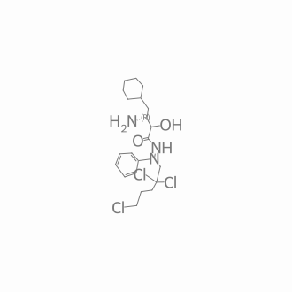 N[C@H](CC1CCCCC1)C(O)C(=O)NN(CC(Cl)(Cl)CCCCl)c1ccccc1